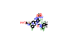 Cn1nc(NS(C)(=O)=O)c2c(Cl)ccc(-c3ccc(-c4cnc(C(C)(C)O)s4)nc3[C@H](Cc3cc(F)cc(F)c3)NC(=O)Cn3nc(C(F)(F)F)c4c3C(F)(F)[C@@H]3C[C@H]43)c21